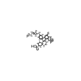 O=C(O)c1ccc2c(c1)CCCC(c1ccc(F)cc1CC(F)(F)F)=C2c1ccc(CC2CN(CCCF)C2)cc1